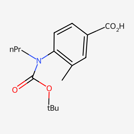 CCCN(C(=O)OC(C)(C)C)c1ccc(C(=O)O)cc1C